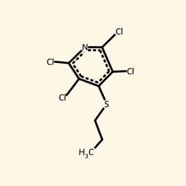 CCCSc1c(Cl)c(Cl)nc(Cl)c1Cl